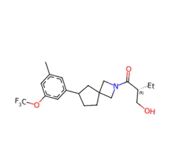 CC[C@H](CO)C(=O)N1CC2(CCC(c3cc(C)cc(OC(F)(F)F)c3)C2)C1